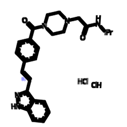 CC(C)NC(=O)CN1CCN(C(=O)c2ccc(/C=C/c3n[nH]c4ccccc34)cc2)CC1.Cl.Cl